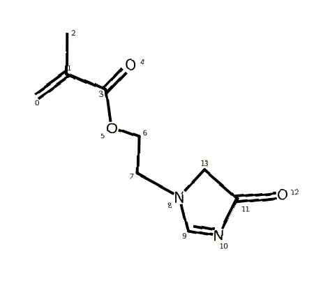 C=C(C)C(=O)OCCN1C=NC(=O)C1